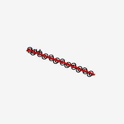 CCCCOC(=O)CCCCCOC(=O)CCCCCOC(=O)CCCCCOC(=O)CCCCCOC(=O)CCCCCOC(=O)CCCCCOC(=O)CCCCCOC(=O)CCCCCOC(=O)CCCCCOC(=O)CCCCCOC(=O)NCCOC(=O)C(C)(C)CC